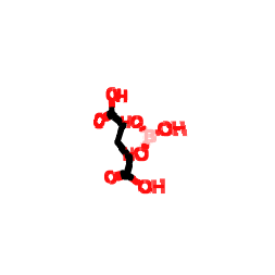 O=C(O)CCCC(=O)O.OB(O)O